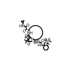 CN(C)S(=O)(=O)CC1(NC(=O)N[C@H]2CCCCCCCCCC[C@@H](C(=O)C(=O)NC3CC3)NC(=O)[C@@H]3[C@@H]4[C@H](CN3C2=O)C4(C)C)CCCCC1